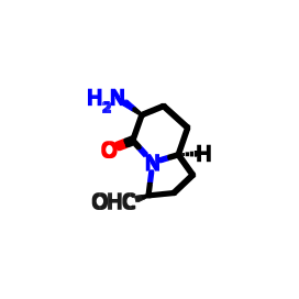 N[C@H]1CC[C@H]2CC[C@@H](C=O)N2C1=O